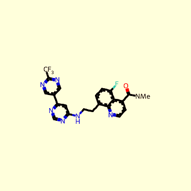 CNC(=O)c1ccnc2c(CCNc3cc(-c4cnc(C(F)(F)F)nc4)ncn3)ccc(F)c12